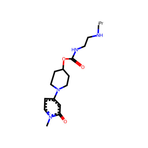 CC(C)NCCNC(=O)OC1CCN(c2ccn(C)c(=O)c2)CC1